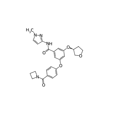 Cn1ccc(NC(=O)c2cc(Oc3ccc(C(=O)N4CCC4)cc3)cc(O[C@H]3CCOC3)c2)n1